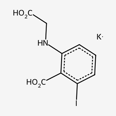 O=C(O)CNc1cccc(I)c1C(=O)O.[K]